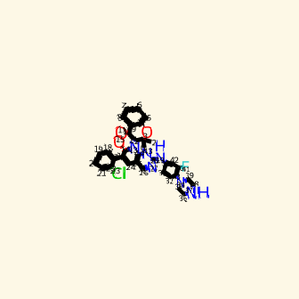 CC1(C)Oc2ccccc2C(=O)C1n1c(=O)c(-c2ccccc2Cl)cc2cnc(Nc3ccc(N4CCNCC4)c(F)c3)nc21